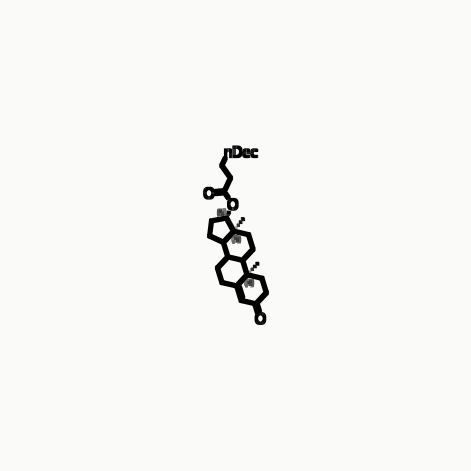 CCCCCCCCCCCCC(=O)O[C@H]1CCC2C3CCC4=CC(=O)CC[C@]4(C)C3CC[C@@]21C